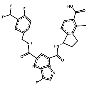 Cc1c(C(=O)O)ccc2c1CC[C@@H]2NC(=O)c1cc(C(=O)NCc2ccc(F)c(C(F)F)c2)nc2c(F)cnn12